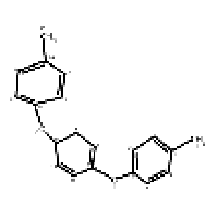 Cc1ccc(OC2=CCC(Oc3ccc(C)cc3)C=C2)cc1